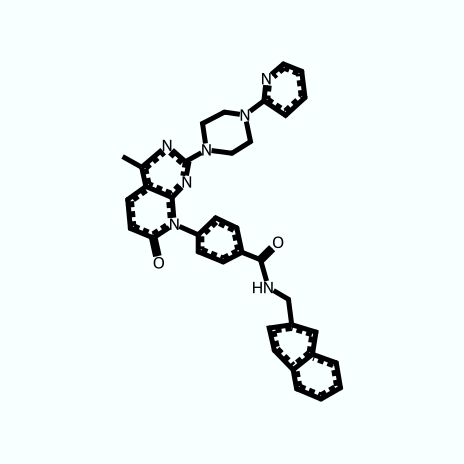 Cc1nc(N2CCN(c3ccccn3)CC2)nc2c1ccc(=O)n2-c1ccc(C(=O)NCc2ccc3ccccc3c2)cc1